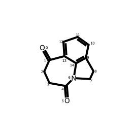 O=C1CCC(=O)N2CCc3cccc1c32